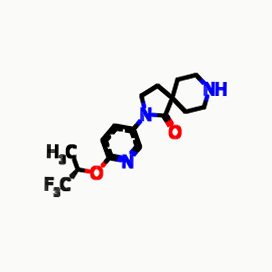 C[C@@H](Oc1ccc(N2CCC3(CCNCC3)C2=O)cn1)C(F)(F)F